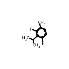 Cc1ccc(F)c(C(C)C)c1F